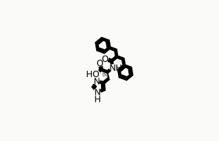 O=C(N[C@@H](Cc1c[nH]cn1)C(=O)O)C(Cc1ccccc1)Cc1ccccc1